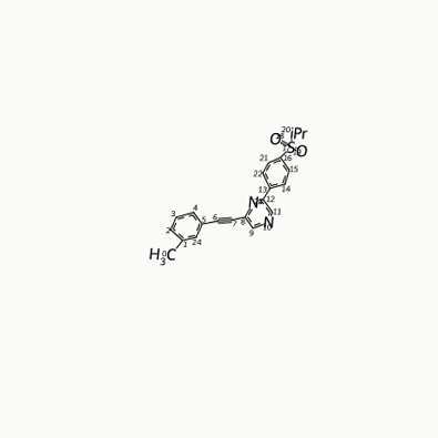 Cc1cccc(C#Cc2cncc(-c3ccc(S(=O)(=O)C(C)C)cc3)n2)c1